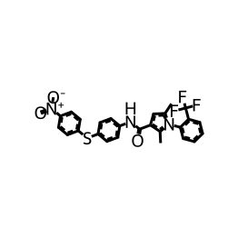 Cc1cc(C(=O)Nc2ccc(Sc3ccc([N+](=O)[O-])cc3)cc2)c(C)n1-c1ccccc1C(F)(F)F